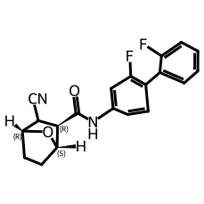 N#CC1[C@@H](C(=O)Nc2ccc(-c3ccccc3F)c(F)c2)[C@@H]2CC[C@H]1O2